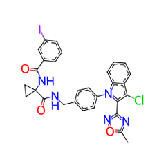 Cc1nc(-c2c(Cl)c3ccccc3n2-c2ccc(CNC(=O)C3(NC(=O)c4cccc(I)c4)CC3)cc2)no1